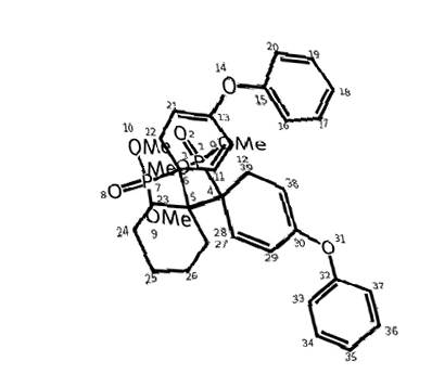 COP(=O)(OC)C1(C2(C3(P(=O)(OC)OC)C=CC(Oc4ccccc4)=CC3)CCCCC2)C=CC(Oc2ccccc2)=CC1